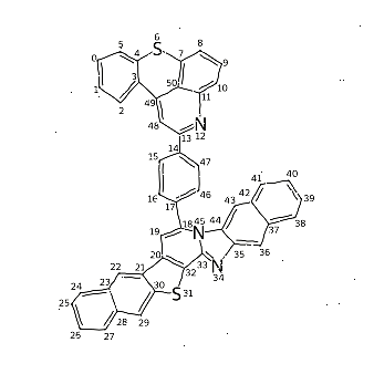 c1ccc2c(c1)Sc1cccc3nc(-c4ccc(-c5cc6c7cc8ccccc8cc7sc6c6nc7cc8ccccc8cc7n56)cc4)cc-2c13